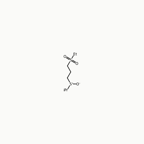 CCS(=O)(=O)CCC[S+]([O-])C(C)C